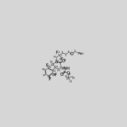 C#CCOCCCC(F)(F)CN1C(=O)C(NC(=O)OC(C)(C)C)CC(c2c(F)ccc(F)c2F)C1C